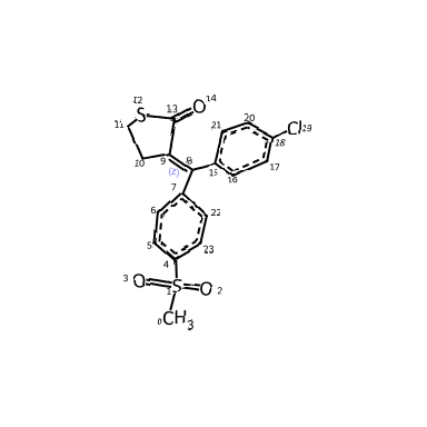 CS(=O)(=O)c1ccc(/C(=C2\CCSC2=O)c2ccc(Cl)cc2)cc1